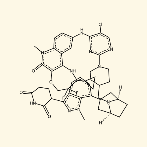 Cn1nc(C2CCC(=O)NC2=O)c2cccc(C3C[C@H]4CC[C@@H](C3)N4CC3CCN(c4ncc(Cl)c(Nc5ccc6c(c5)c5c(c(=O)n6C)OCC(F)(F)C(C6CC6)N5)n4)CC3)c21